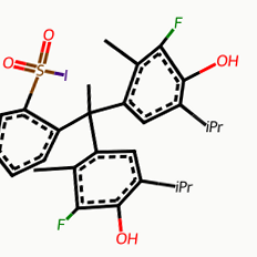 Cc1c(C(C)(c2ccccc2S(=O)(=O)I)c2cc(C(C)C)c(O)c(F)c2C)cc(C(C)C)c(O)c1F